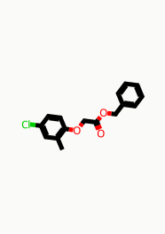 Cc1cc(Cl)ccc1OCC(=O)OCc1ccccc1